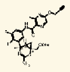 C#CCOc1cnc(C(=O)Nc2cc(F)c(F)c([C@@]3(C)N=C(N)S[C@@]4(COC)C[C@H]43)c2)c(C)n1